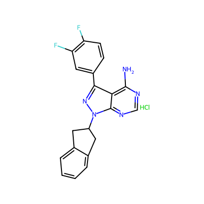 Cl.Nc1ncnc2c1c(-c1ccc(F)c(F)c1)nn2C1Cc2ccccc2C1